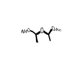 COC(C)OC(C)OC(C)=O